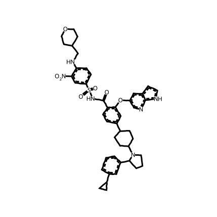 O=C(NS(=O)(=O)c1ccc(NCC2CCOCC2)c([N+](=O)[O-])c1)c1ccc(C2CCC(N3CCCC3c3cccc(C4CC4)c3)CC2)cc1Oc1cnc2[nH]ccc2c1